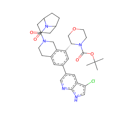 CC(C)(C)OC(=O)N1CCOC[C@H]1c1cc(-c2cnc3[nH]cc(Cl)c3c2)cc2c1CN(C(=O)N1C3CCC1CC(=O)C3)CC2